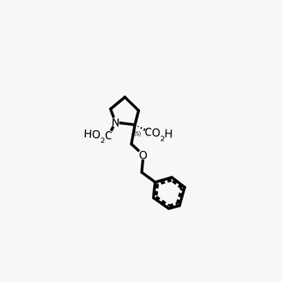 O=C(O)N1CCC[C@]1(COCc1ccccc1)C(=O)O